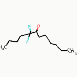 CCCCCCC(=O)C(F)(F)CCCC